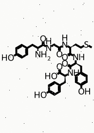 CSCC[C@H](NC(=O)CNC(=O)[C@@H](N)Cc1ccc(O)cc1)C(=O)N[C@@H](Cc1ccc(O)cc1)C(=O)N[C@@H](Cc1ccc(O)cc1)C(=O)O